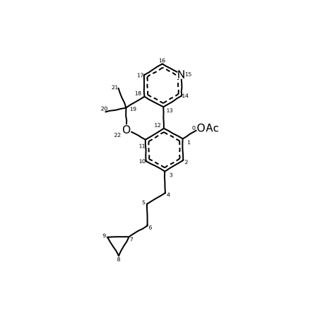 CC(=O)Oc1cc(CCCC2CC2)cc2c1-c1cnccc1C(C)(C)O2